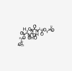 CN(C(=O)NCC(=O)OCC1CO1)C(=O)N(C=O)CC(=O)OCC1CO1